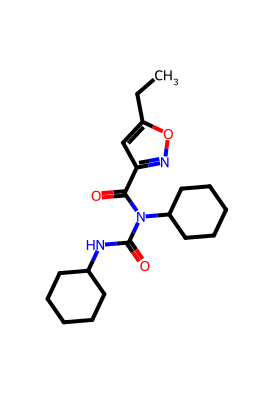 CCc1cc(C(=O)N(C(=O)NC2CCCCC2)C2CCCCC2)no1